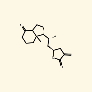 C=C1C[C@H](C[C@@H](C)[C@H]2CCC3C(=O)CCCC32C)OC1=O